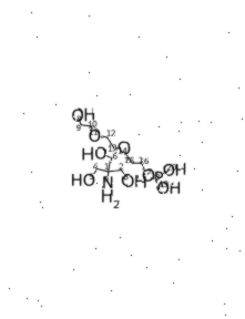 NC(CO)(CO)CO.OCCOCCOCCOP(O)O